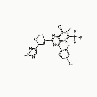 Cn1ncc(C2C=C(c3nc(-c4ccc(Cl)cc4F)c4nc(C(F)(F)F)n(C)c(=O)c4n3)CCO2)n1